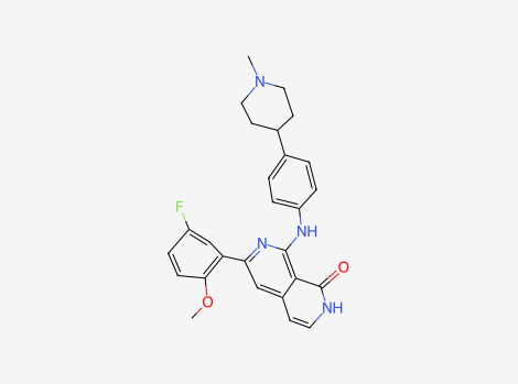 COc1ccc(F)cc1-c1cc2cc[nH]c(=O)c2c(Nc2ccc(C3CCN(C)CC3)cc2)n1